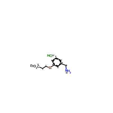 CCOC(=O)CCSc1cccc(CN)c1.Cl